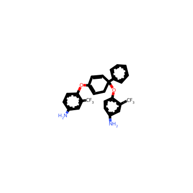 Nc1ccc(OC2=CCC(Oc3ccc(N)cc3C(F)(F)F)(c3ccccc3)C=C2)c(C(F)(F)F)c1